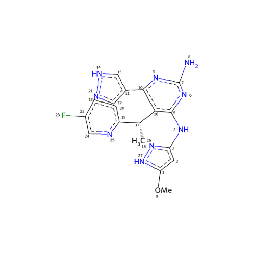 COc1cc(Nc2nc(N)nc(-c3cn[nH]c3)c2[C@H](C)c2ccc(F)cn2)n[nH]1